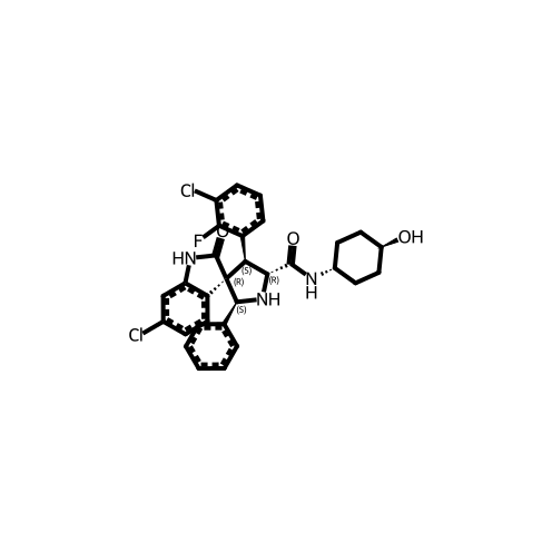 O=C(N[C@H]1CC[C@H](O)CC1)[C@@H]1N[C@@H](c2ccccc2)[C@@]2(C(=O)Nc3cc(Cl)ccc32)[C@H]1c1cccc(Cl)c1F